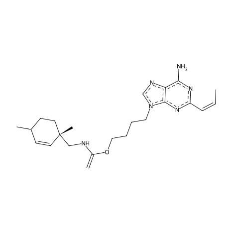 C=C(NC[C@]1(C)C=CC(C)CC1)OCCCCn1cnc2c(N)nc(/C=C\C)nc21